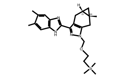 Cc1cc2nc(-c3nn(COCC[Si](C)(C)C)c4c3C[C@@H]3C[C@]3(C)C4)[nH]c2cc1C